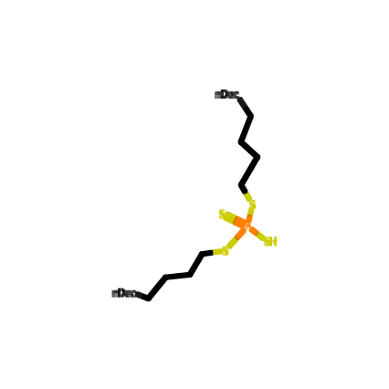 CCCCCCCCCCCCCCSP(=S)(S)SCCCCCCCCCCCCCC